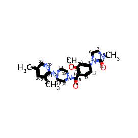 COc1cc(N2CCN(C)C2=O)ccc1C(=O)N1CCN(c2ncc(C)cc2C)CC1